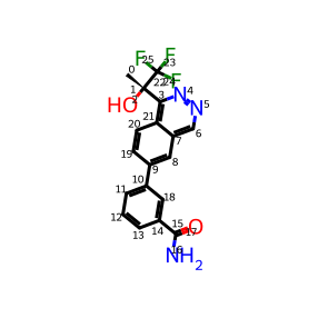 C[C@](O)(c1nncc2cc(-c3cccc(C(N)=O)c3)ccc12)C(F)(F)F